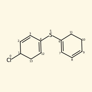 ClC1C=CC(SC2=CC=CCC2)=CC1